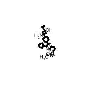 COc1nnc2ccc3nc(-c4ccc([C@]5(N)C[C@@](O)(C6CC6)C5)cc4)c(-c4ccccc4)nc3n12